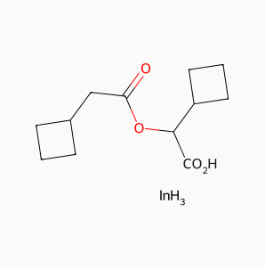 O=C(CC1CCC1)OC(C(=O)O)C1CCC1.[InH3]